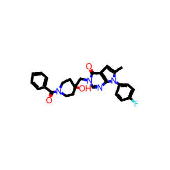 Cc1cc2c(=O)n(CC3(O)CCN(C(=O)c4ccccc4)CC3)cnc2n1-c1ccc(F)cc1